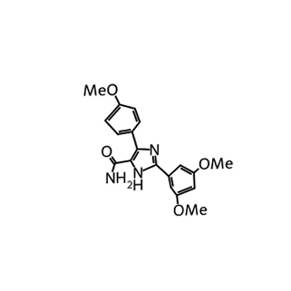 COc1ccc(-c2nc(-c3cc(OC)cc(OC)c3)[nH]c2C(N)=O)cc1